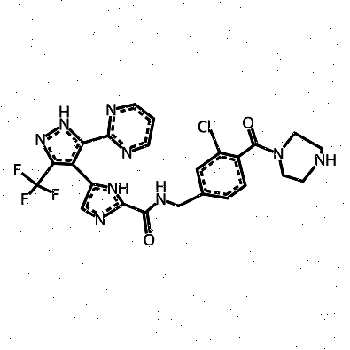 O=C(NCc1ccc(C(=O)N2CCNCC2)c(Cl)c1)c1ncc(-c2c(C(F)(F)F)n[nH]c2-c2ncccn2)[nH]1